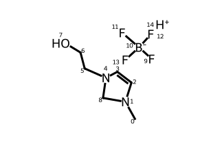 CN1C=CN(CCO)C1.F[B-](F)(F)F.[H+]